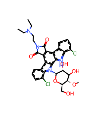 CCN(CC)CCN1C(=O)c2c(c3c4cccc(Cl)c4n([C@@H]4O[C@H](CO)[C@@H](OC)[C@H](O)[C@H]4O)c3c3[nH]c4c(Cl)cccc4c23)C1=O